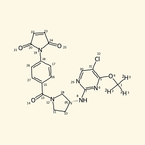 [2H]C([2H])([2H])Oc1nc(N[C@@H]2CCN(C(=O)c3ccc(N4C(=O)C=CC4=O)cc3)C2)ncc1Cl